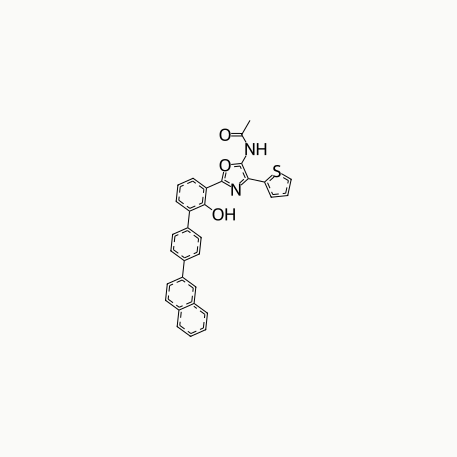 CC(=O)Nc1oc(-c2cccc(-c3ccc(-c4ccc5ccccc5c4)cc3)c2O)nc1-c1cccs1